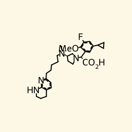 COc1c(F)cc(C2CC2)cc1[C@@H](C(=O)O)N1CC[C@@H](N(C)CCCCCc2ccc3c(n2)NCCC3)C1